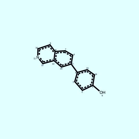 Oc1ccc(-c2ccc3ccncc3c2)cc1